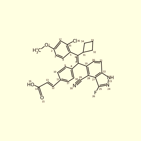 COc1ccc(/C(=C(\c2ccc(/C=C/C(=O)O)cc2)c2ccc3[nH]nc(F)c3c2C#N)C2CCC2)c(Cl)c1